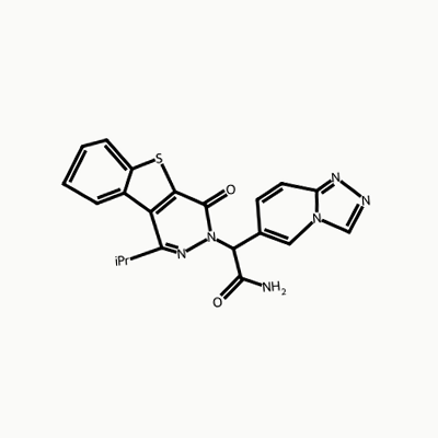 CC(C)c1nn(C(C(N)=O)c2ccc3nncn3c2)c(=O)c2sc3ccccc3c12